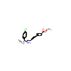 COC(=O)c1ccc(C#CCC[C@@H](N)[C@H](C)c2ccc(Cl)cc2)cc1